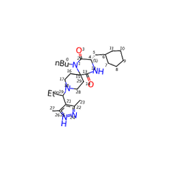 CCCCN1C(=O)[C@H](CC2CCCCC2)NC(=O)C12CCN(C(CC)c1c(C)n[nH]c1C)CC2